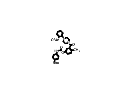 CCCCc1ccc(NC(=O)Oc2ccc(C)c(C(=O)N3CCN(c4ccccc4OC)CC3)c2)cc1